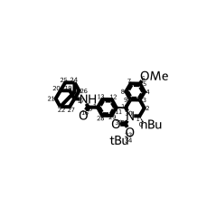 CCCC[C@H]1Cc2cc(OC)ccc2[C@H](c2ccc(C(=O)NC34CC5CC(CC(C5)C3)C4)cc2)N1C(=O)OC(C)(C)C